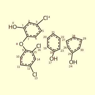 Oc1cc(Cl)ccc1Oc1ccc(Cl)cc1Cl.Oc1ccccc1.Oc1ccccc1